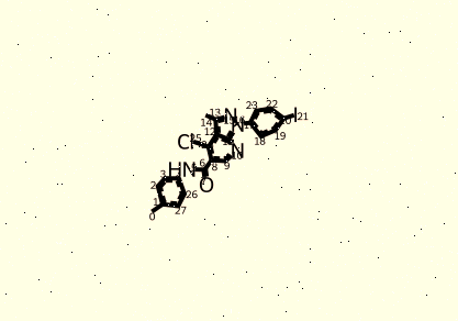 Cc1ccc(NC(=O)c2cnc3c(c(C)nn3-c3ccc(I)cc3)c2Cl)cc1